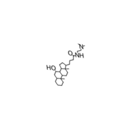 CN(C)CCNC(=O)CCCC1CCC2C3C(O)CC4CCCCC4(C)C3CCC12C